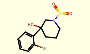 O=[SH](=O)N1CCCC(O)(c2ccccc2Br)C1